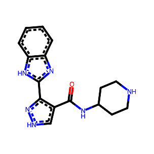 O=C(NC1CCNCC1)c1c[nH]nc1-c1nc2ccccc2[nH]1